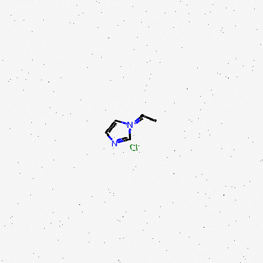 CC=[N+]1C=CN=C1.[Cl-]